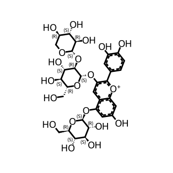 OC[C@H]1O[C@@H](Oc2cc(O)cc3[o+]c(-c4ccc(O)c(O)c4)c(O[C@@H]4O[C@H](CO)[C@@H](O)[C@H](O)[C@H]4O[C@@H]4OC[C@@H](O)[C@H](O)[C@H]4O)cc23)[C@H](O)[C@@H](O)[C@@H]1O